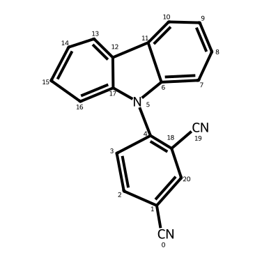 N#Cc1ccc(-n2c3ccccc3c3ccccc32)c(C#N)c1